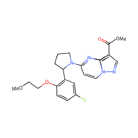 COCCOc1ccc(F)cc1C1CCCN1c1ccn2ncc(C(=O)OC)c2n1